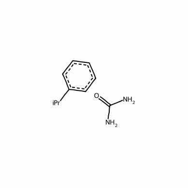 CC(C)c1ccccc1.NC(N)=O